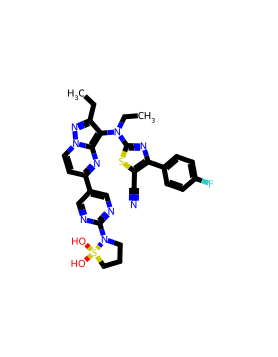 CCc1nn2ccc(-c3cnc(N4CCCS4(O)O)nc3)nc2c1N(CC)c1nc(-c2ccc(F)cc2)c(C#N)s1